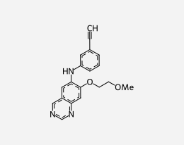 C#Cc1cccc(Nc2cc3cncnc3cc2OCCOC)c1